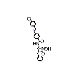 O=C(NCCC(Cc1ccccc1)C(=O)NO)c1ccc(/C=C/c2ccc(Cl)cc2)cc1